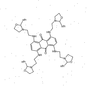 CCCC1OCCN1CCNc1ccc(NCCN2CCOC2CCC)c2c1C(=O)c1c(NCCN3CCOC3CCC)ccc(NCCN3CCOC3CCC)c1C2=O